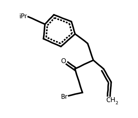 C=C=CC(Cc1ccc(C(C)C)cc1)C(=O)CBr